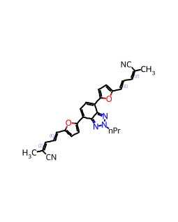 CCCn1nc2c(-c3ccc(/C=C/C=C(/C)C#N)o3)ccc(-c3ccc(/C=C/C=C(/C)C#N)o3)c2n1